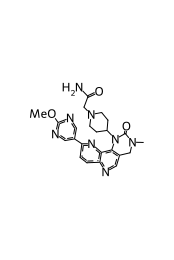 COc1ncc(-c2ccc3ncc4c(c3n2)N(C2CCN(CC(N)=O)CC2)C(=O)N(C)C4)cn1